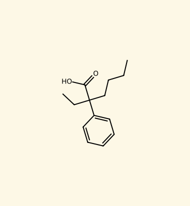 CCCCC(CC)(C(=O)O)c1ccccc1